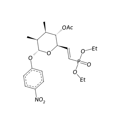 CCOP(=O)(/C=C/[C@H]1O[C@H](Oc2ccc([N+](=O)[O-])cc2)[C@@H](C)[C@@H](C)[C@@H]1OC(C)=O)OCC